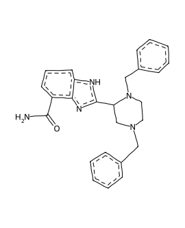 NC(=O)c1cccc2[nH]c(C3CN(Cc4ccccc4)CCN3Cc3ccccc3)nc12